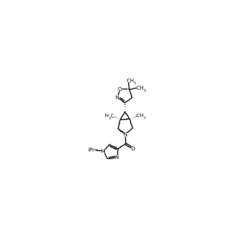 CC(C)n1cnc(C(=O)N2C[C@@]3(C)[C@H](C4=NOC(C)(C)C4)[C@@]3(C)C2)c1